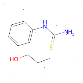 CCCO.NC(=S)Nc1ccccc1